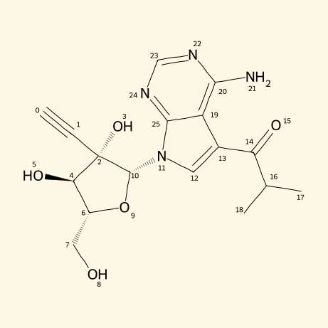 C#C[C@]1(O)[C@H](O)[C@@H](CO)O[C@H]1n1cc(C(=O)C(C)C)c2c(N)ncnc21